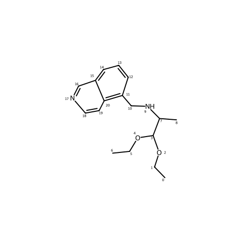 CCOC(OCC)C(C)NCc1cccc2cnccc12